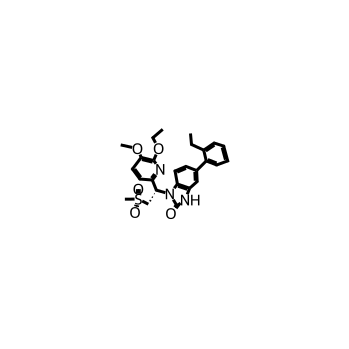 CCOc1nc([C@@H](CS(C)(=O)=O)n2c(=O)[nH]c3cc(-c4ccccc4CC)ccc32)ccc1OC